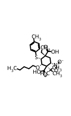 CCCCCO[C@@H]1[C@H](Sc2ccc(C)cc2)[C@](CC)(C(=O)O)C[C@H]([N+](=O)[O-])[C@]1(C(=O)O)C(C)(C)C